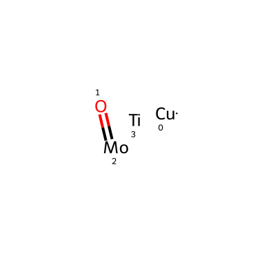 [Cu].[O]=[Mo].[Ti]